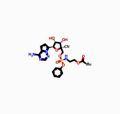 CC(C)(C)C(=O)OCCN[P@@](=O)(OC[C@@]1(C#N)O[C@@H](c2ccc3c(N)ncnn23)[C@H](O)[C@@H]1O)Oc1ccccc1